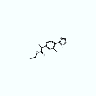 CCOC(=O)C(C)c1ccc(-c2nccs2)c(C)c1